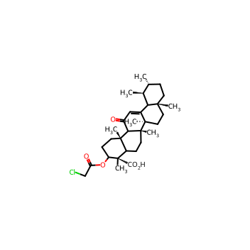 C[C@@H]1CC[C@]2(C)CC[C@]3(C)C(=CC(=O)C4[C@@]5(C)CCC(OC(=O)CCl)[C@](C)(C(=O)O)C5CC[C@]43C)C2[C@H]1C